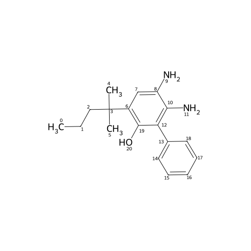 CCCC(C)(C)c1cc(N)c(N)c(-c2ccccc2)c1O